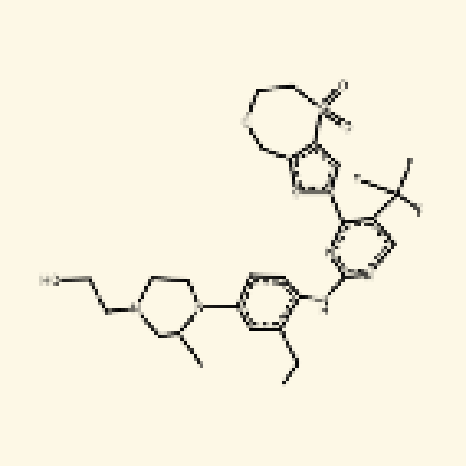 CCc1cc(N2CCN(CCO)CC2C)ccc1Nc1ncc(C(F)(F)F)c(-c2cc3c(s2)COCCS3(=O)=O)n1